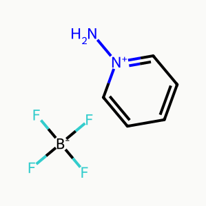 F[B-](F)(F)F.N[n+]1ccccc1